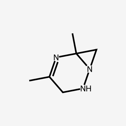 CC1=NC2(C)CN2NC1